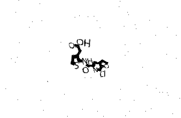 O=C(O)Cc1ccsc1NC(=O)c1cc2ccoc2c(Cl)n1